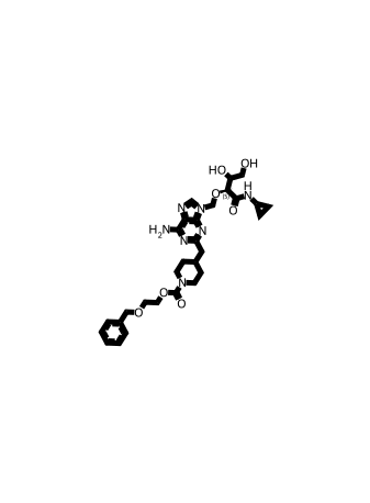 Nc1nc(CC2CCN(C(=O)OCCOCc3ccccc3)CC2)nc2c1ncn2CO[C@H](C(=O)NC1CC1)C(O)CO